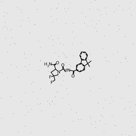 CC1(C)c2ccccc2-c2cc(C(=O)NCC(=O)N3CC(F)(CF)CC3C(N)=O)ccc21